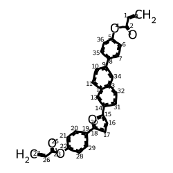 C=CC(=O)Oc1ccc(-c2ccc3cc(-c4ccc(-c5ccc(OC(=O)C=C)cc5)o4)ccc3c2)cc1